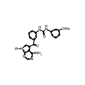 COc1cccc(NC(=O)Nc2cccc(C(=O)c3cn(C(C)C)c4ncnc(N)c34)c2)c1